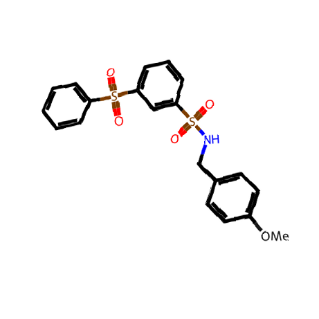 COc1ccc(CNS(=O)(=O)c2cccc(S(=O)(=O)c3ccccc3)c2)cc1